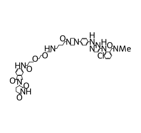 CNC(=O)c1ccccc1Nc1nc(Nc2ccc(N3CCN(C(=O)CCCNCCOCCOCCC(=O)Nc4ccc5c(c4)CN(C4CCC(=O)NC4=O)C5=O)CC3)cc2)ncc1Cl